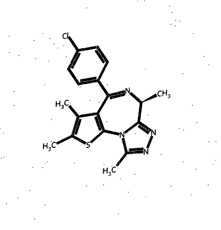 Cc1sc2c(c1C)C(c1ccc(Cl)cc1)=N[C@@H](C)c1nnc(C)n1-2